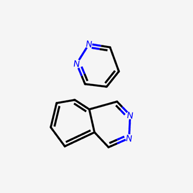 c1ccc2cnncc2c1.c1ccnnc1